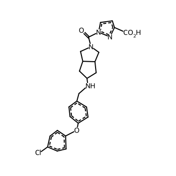 O=C(O)c1ccn(C(=O)N2CC3CC(NCc4ccc(Oc5ccc(Cl)cc5)cc4)CC3C2)n1